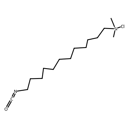 C[Si](C)(Cl)CCCCCCCCCCCCN=C=O